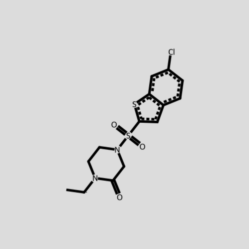 C[CH]N1CCN(S(=O)(=O)c2cc3ccc(Cl)cc3s2)CC1=O